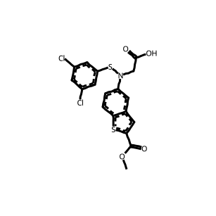 COC(=O)c1cc2cc(N(CC(=O)O)Sc3cc(Cl)cc(Cl)c3)ccc2s1